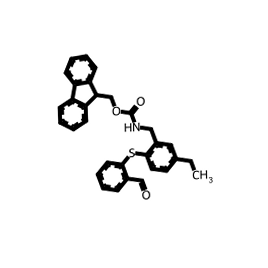 CCc1ccc(Sc2ccccc2C=O)c(CNC(=O)OCC2c3ccccc3-c3ccccc32)c1